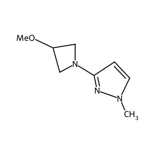 COC1CN(c2ccn(C)n2)C1